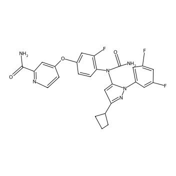 NC(=O)c1cc(Oc2ccc(N(C(N)=O)c3cc(C4CCC4)nn3-c3cc(F)cc(F)c3)c(F)c2)ccn1